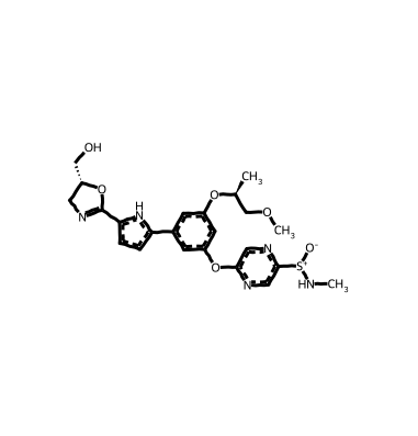 CN[S+]([O-])c1cnc(Oc2cc(O[C@@H](C)COC)cc(-c3ccc(C4=NC[C@H](CO)O4)[nH]3)c2)cn1